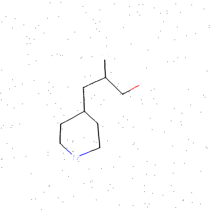 CC(CO)CC1CC[N]CC1